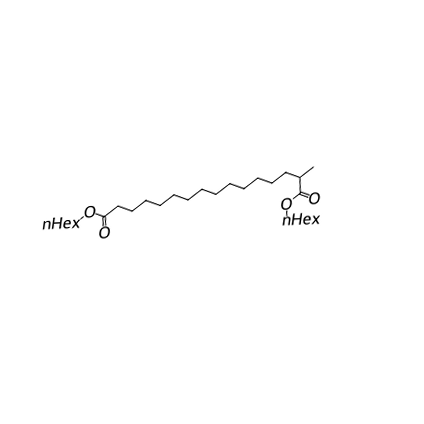 CCCCCCOC(=O)CCCCCCCCCCCCCC(C)C(=O)OCCCCCC